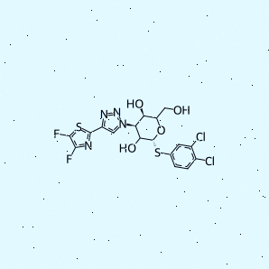 OCC1O[C@H](Sc2ccc(Cl)c(Cl)c2)C(O)[C@@H](n2cc(-c3nc(F)c(F)s3)nn2)[C@H]1O